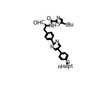 CCCCCCCOc1ccc(-c2cnc(-c3ccc(CC(C=O)NC(=O)c4ncc(C(C)(C)C)s4)cc3)nc2)cc1